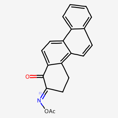 CC(=O)O/N=C1\CCc2c(ccc3c2ccc2ccccc23)C1=O